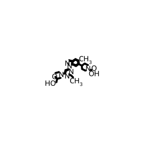 CCc1nc(N2CCOC(CO)C2)cc(-n2ncc3cc(C)c(C4CCN(C(=O)O)CC4)cc32)n1